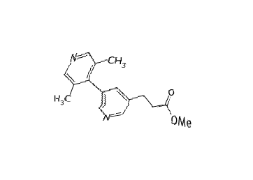 COC(=O)CCc1cncc(-c2c(C)cncc2C)c1